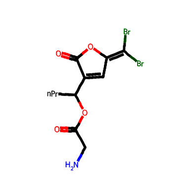 CCCC(OC(=O)CN)C1=CC(=C(Br)Br)OC1=O